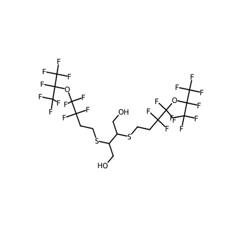 OCC(SCCC(F)(F)C(F)(F)OC(F)(C(F)(F)F)C(F)(F)F)C(CO)SCCC(F)(F)C(F)(F)OC(F)(C(F)(F)F)C(F)(F)F